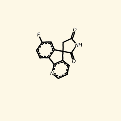 O=C1CC2(C(=O)N1)c1cc(F)ccc1-c1ncccc12